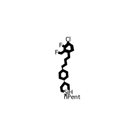 CCCCC[SiH]1CCC([C@H]2CC[C@H](CCCCc3ccc(Cl)c(F)c3CF)CC2)CC1